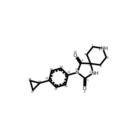 O=C1NC2(CCNCC2)C(=O)N1c1ccc(C2CC2)cc1